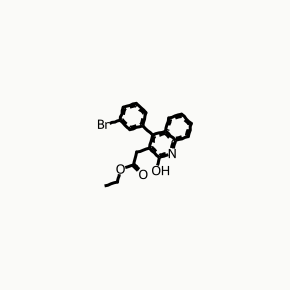 CCOC(=O)Cc1c(O)nc2ccccc2c1-c1cccc(Br)c1